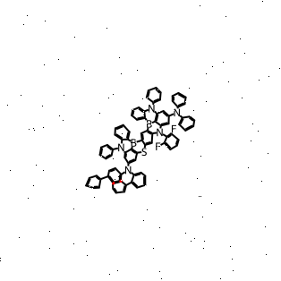 Fc1cccc(F)c1N1c2cc3c(cc2B2c4ccccc4N(c4ccccc4)c4cc(N(c5ccccc5)c5ccccc5)cc1c42)B1c2ccccc2N(c2ccccc2)c2cc(N(c4ccc(-c5ccccc5)cc4)c4ccccc4-c4ccccc4)cc(c21)S3